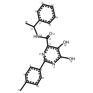 Cc1ccc(-c2nc(O)c(O)c(C(=O)NC(C)c3ccccc3)n2)cc1